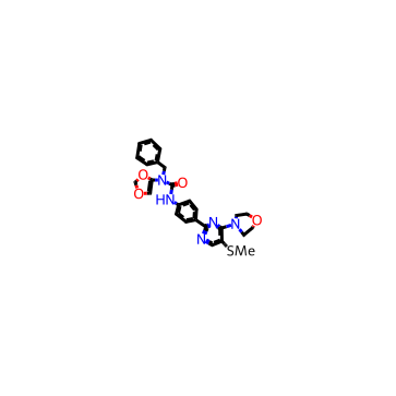 CSc1cnc(-c2ccc(NC(=O)N(Cc3ccccc3)C3=COCO3)cc2)nc1N1CCOCC1